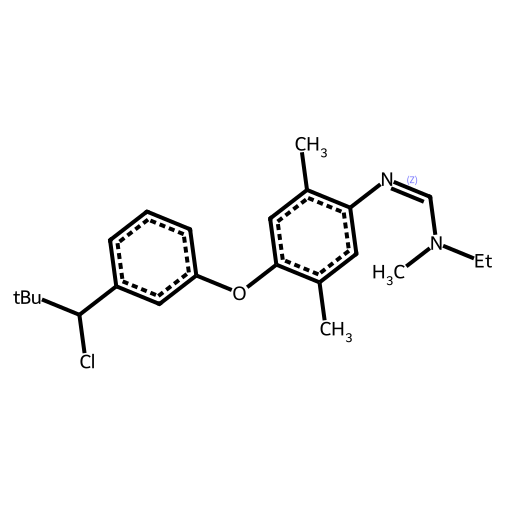 CCN(C)/C=N\c1cc(C)c(Oc2cccc(C(Cl)C(C)(C)C)c2)cc1C